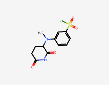 CN(c1cccc(S(=O)(=O)Cl)c1)C1CCC(=O)NC1=O